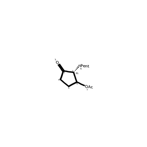 CCCCC[C@H]1C(=O)CCC1OC(C)=O